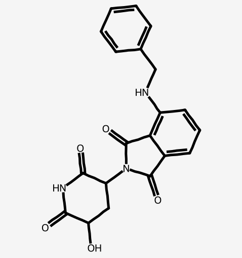 O=C1NC(=O)C(N2C(=O)c3cccc(NCc4ccccc4)c3C2=O)CC1O